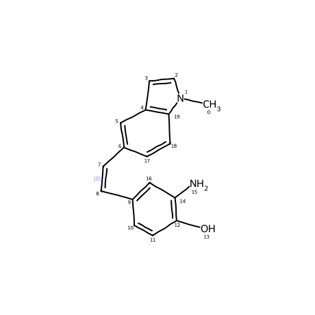 Cn1ccc2cc(/C=C\c3ccc(O)c(N)c3)ccc21